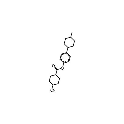 CC1CCC(c2ccc(OC(=O)C3CCC(C#N)CC3)cc2)CC1